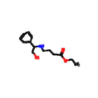 CCOC(=O)CCCNC(CO)c1ccccc1